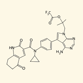 CC(C)(Cn1cc(-c2ccc(N(C(=O)c3cc4c([nH]c3=O)CCCC4=O)C3CC3)cc2)c2c(N)ncnc21)OC(=O)C(F)(F)F